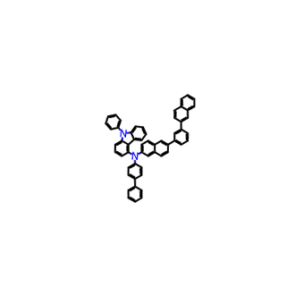 c1ccc(-c2ccc(N(c3ccc4cc(-c5cccc(-c6ccc7ccccc7c6)c5)ccc4c3)c3cccc4c3c3ccccc3n4-c3ccccc3)cc2)cc1